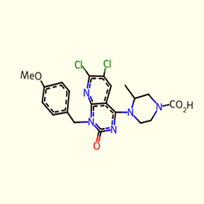 COc1ccc(Cn2c(=O)nc(N3CCN(C(=O)O)CC3C)c3cc(Cl)c(Cl)nc32)cc1